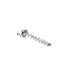 CN(C)C(=O)C(Br)CCCCCCCCCCCCCCCCBr